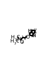 CN(C)C(=O)CCCOC1C[C@H]2CCC[C@H]2C1